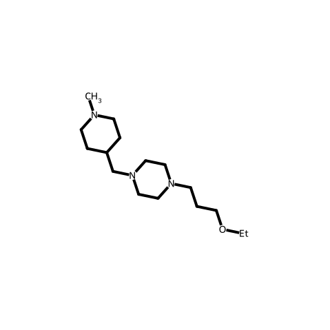 CCOCCCN1CCN(CC2CCN(C)CC2)CC1